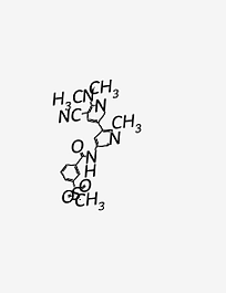 Cc1ncc(NC(=O)c2cccc(S(C)(=O)=O)c2)cc1-c1cnc(N(C)C)c(C#N)c1